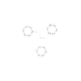 c1ccc(O[Si](Oc2ccccc2)Oc2ccccc2)cc1